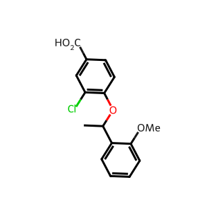 COc1ccccc1C(C)Oc1ccc(C(=O)O)cc1Cl